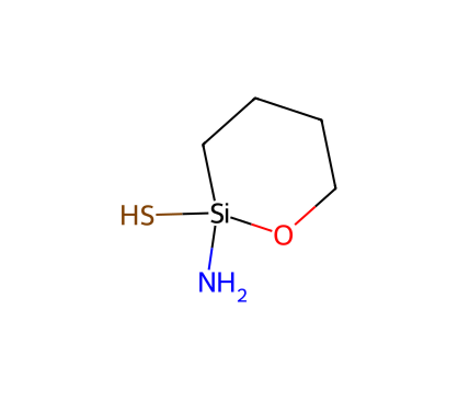 N[Si]1(S)CCCCO1